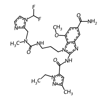 CCn1nc(C)cc1C(=O)Nc1nc2cc(C(N)=O)cc(OC)c2n1CCCNC(=O)N(C)Cc1nccn1C(F)F